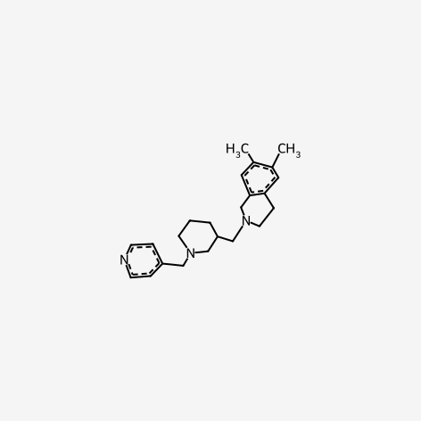 Cc1cc2c(cc1C)CN(CC1CCCN(Cc3ccncc3)C1)CC2